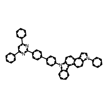 c1ccc(-c2cc(-c3ccccc3)nc(-c3ccc(-c4ccc(-n5c6ccccc6c6c7ccc8c(ccn8-c8ccccc8)c7ccc65)cc4)cc3)n2)cc1